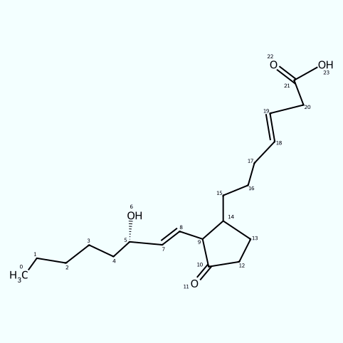 CCCCC[C@H](O)/C=C/C1C(=O)CCC1CCC/C=C/CC(=O)O